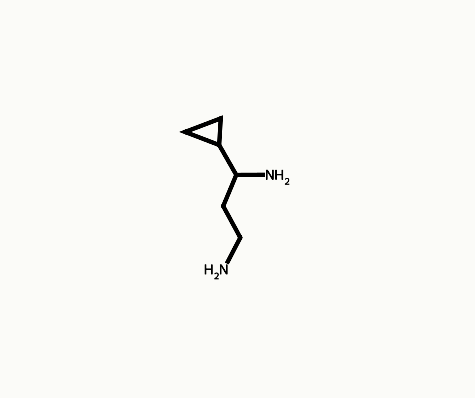 NCCC(N)C1CC1